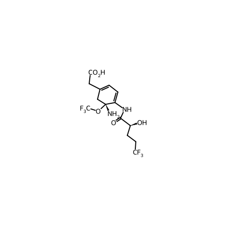 N[C@@]1(OC(F)(F)F)CC(CC(=O)O)=CC=C1NC(=O)[C@@H](O)CCC(F)(F)F